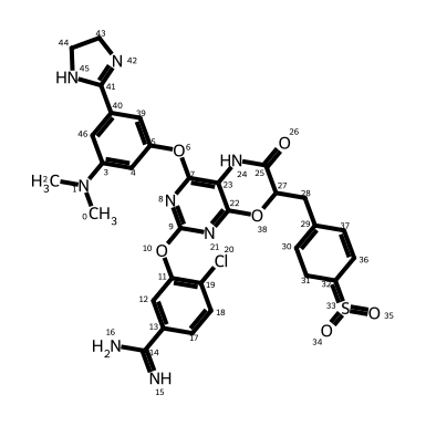 CN(C)c1cc(Oc2nc(Oc3cc(C(=N)N)ccc3Cl)nc3c2NC(=O)C(CC2=CCC(=S(=O)=O)C=C2)O3)cc(C2=NCCN2)c1